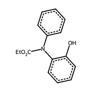 CCOC(=O)N(c1ccccc1)c1ccccc1O